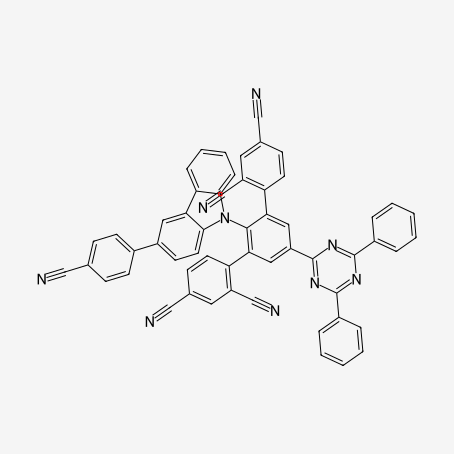 N#Cc1ccc(-c2ccc3c(c2)c2ccccc2n3-c2c(-c3ccc(C#N)cc3C#N)cc(-c3nc(-c4ccccc4)nc(-c4ccccc4)n3)cc2-c2ccc(C#N)cc2C#N)cc1